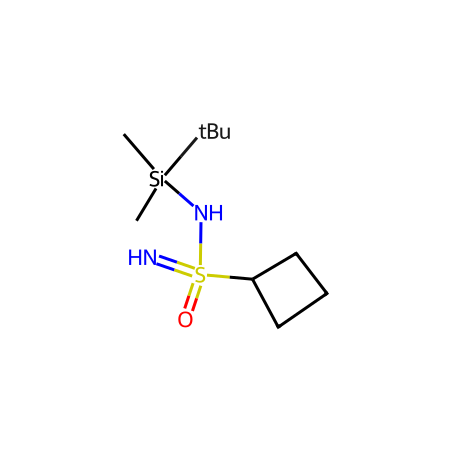 CC(C)(C)[Si](C)(C)NS(=N)(=O)C1CCC1